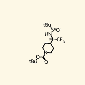 CC(C)(C)OC(=O)N1CCC([C@@H](N[S+]([O-])C(C)(C)C)C(F)(F)F)CC1